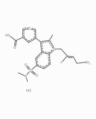 Cc1c(-c2cccc(C(=O)O)c2)c2cc(S(=O)(=O)N(C)C)ccc2n1C/C(F)=C/CN.Cl